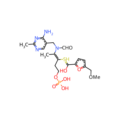 COCc1ccc(/C(O)=[SH]/C(CCOP(=O)(O)O)=C(/C)N(C=O)Cc2cnc(C)nc2N)o1